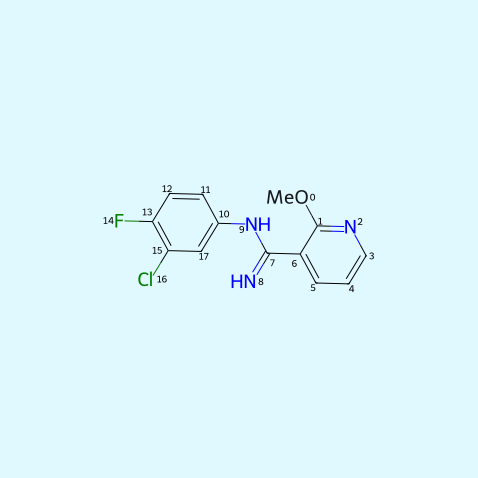 COc1ncccc1C(=N)Nc1ccc(F)c(Cl)c1